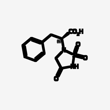 O=C1CN([C@@H](Cc2ccccc2)C(=O)O)S(=O)(=O)N1